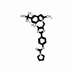 Cc1oc(-c2ccc(OC(=O)N3CCCC3)cc2)nc1Cn1c(C)cc2cc(C(O)(C(F)(F)F)C(F)(F)F)ccc21